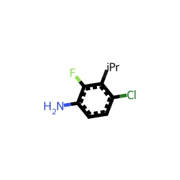 CC(C)c1c(Cl)ccc(N)c1F